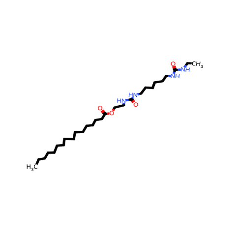 CCCCCCCCCCCCCCCC(=O)OCCNC(=O)NCCCCCCNC(=O)NCC